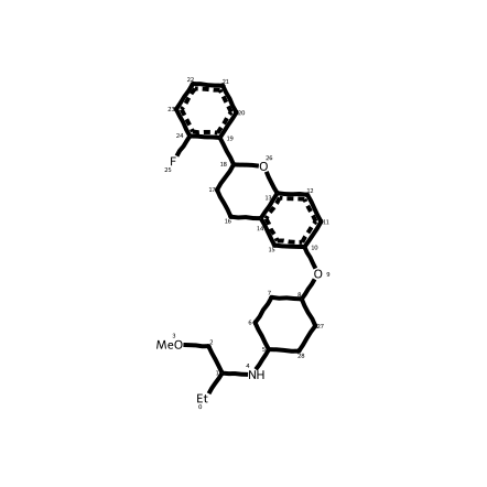 CCC(COC)NC1CCC(Oc2ccc3c(c2)CCC(c2ccccc2F)O3)CC1